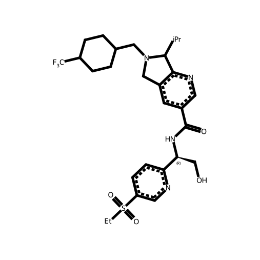 CCS(=O)(=O)c1ccc([C@H](CO)NC(=O)c2cnc3c(c2)CN(CC2CCC(C(F)(F)F)CC2)C3C(C)C)nc1